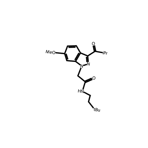 COc1ccc2c(C(=O)C(C)C)nn(CC(=O)NCCC(C)(C)C)c2c1